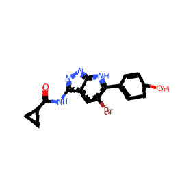 O=C(Nc1nnc2[nH]c(C3=CCC(O)C=C3)c(Br)cc1-2)C1CC1